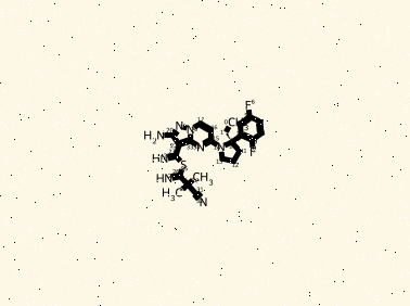 CC[C@]1(c2cc(F)ccc2F)CCCN1c1ccn2nc(N)c(C(=N)SC(=N)C(C)(C)C#N)c2n1